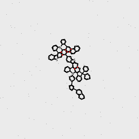 c1ccc(-c2ccccc2N(c2ccc(-c3ccc4c(c3)sc3cccc(-c5ccccc5N(c5ccc(-c6cccc(-c7ccc8ccccc8c7)c6)cc5)c5cccc6c5-c5ccccc5C6(c5ccccc5)c5ccccc5)c34)c(-c3ccc4ccccc4c3)c2)c2ccccc2-c2cccc3sc4ccccc4c23)cc1